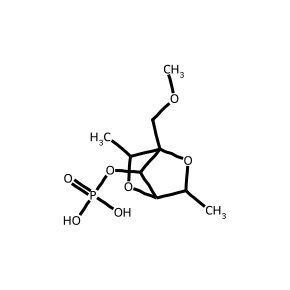 COCC12OC(C)C(OC1C)C2OP(=O)(O)O